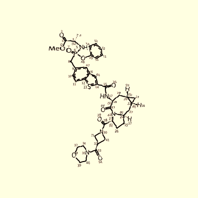 COC(=O)[C@H](C)NP(=O)(Cc1ccc2sc(C(=O)N[C@H]3C[C@@H]4C[C@@H]4C[C@H]4CC[C@@H](C(=O)N5CC(C(=O)N6CCOCC6)C5)N4C3=O)cc2c1)Oc1ccccc1